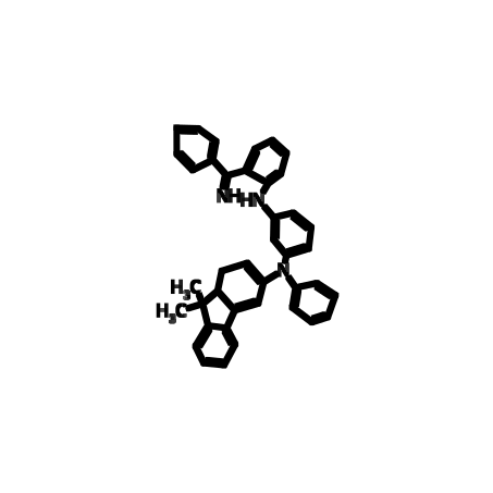 CC1(C)c2ccccc2C2=CC(N(c3ccccc3)c3cccc(Nc4ccccc4C(=N)c4ccccc4)c3)=CCC21